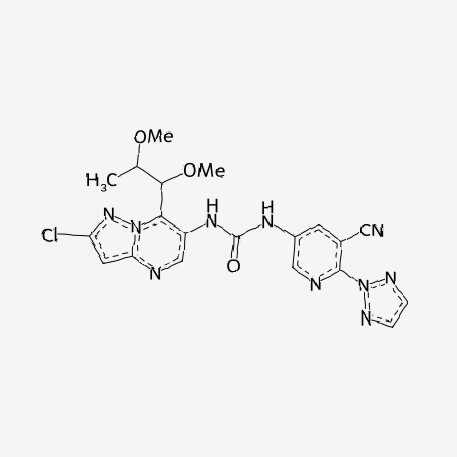 COC(C)C(OC)c1c(NC(=O)Nc2cnc(-n3nccn3)c(C#N)c2)cnc2cc(Cl)nn12